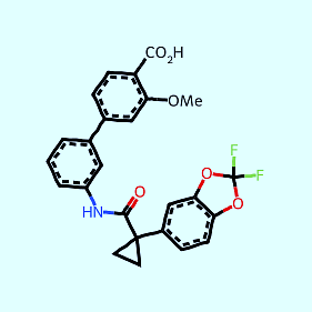 COc1cc(-c2cccc(NC(=O)C3(c4ccc5c(c4)OC(F)(F)O5)CC3)c2)ccc1C(=O)O